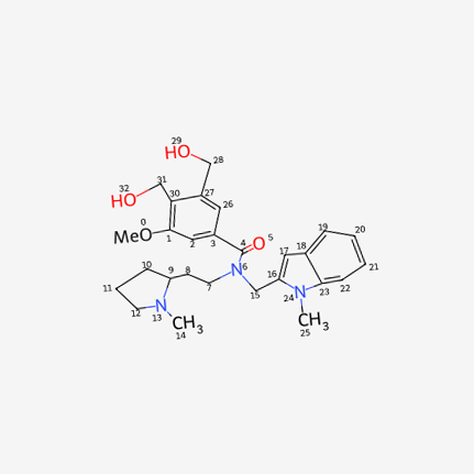 COc1cc(C(=O)N(CCC2CCCN2C)Cc2cc3ccccc3n2C)cc(CO)c1CO